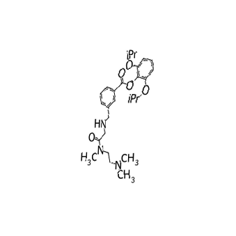 CC(C)Oc1cccc(OC(C)C)c1OC(=O)c1cccc(CNCC(=O)N(C)CCN(C)C)c1